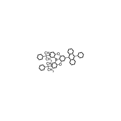 CC(C)(c1ccccc1)c1ccc2c(c1)B1c3cc(C(C)(C)c4ccccc4)ccc3Oc3cc(-c4c5ccccc5c(-c5ccccc5)c5ccccc45)cc(c31)O2